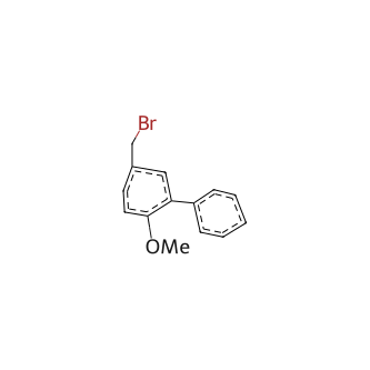 COc1ccc(CBr)cc1-c1ccccc1